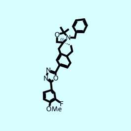 COc1ccc(-c2nnc(C3=CCC4CC[C@@]5(COC(C)(C)N5Cc5ccccc5)CC4=C3)o2)cc1F